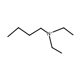 CCCC[N+](CC)CC